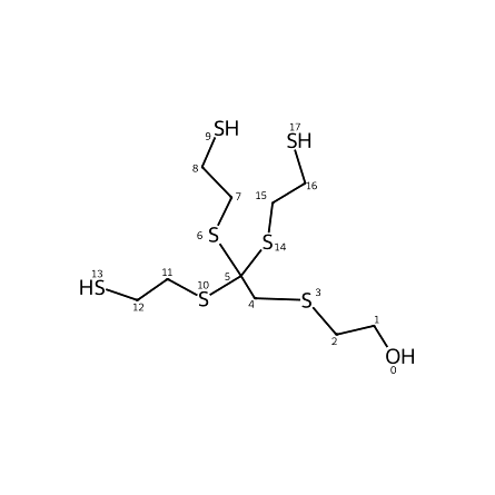 OCCSCC(SCCS)(SCCS)SCCS